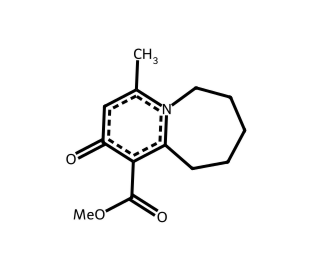 COC(=O)c1c2n(c(C)cc1=O)CCCCC2